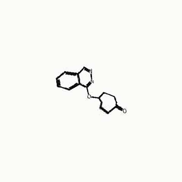 O=C1CCC(Oc2nncc3ccccc23)CC1